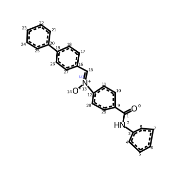 O=C(Nc1ccccc1)c1ccc(/[N+]([O-])=C/c2ccc(-c3ccccc3)cc2)cc1